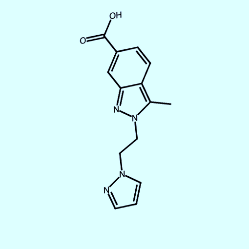 Cc1c2ccc(C(=O)O)cc2nn1CCn1cccn1